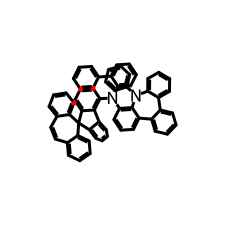 C1=Cc2ccccc2C2(c3ccccc31)c1ccccc1-c1c(N(c3ccccc3-c3ccccc3)c3cccc4c3N(c3ccccc3)c3ccccc3-c3ccccc3-4)cccc12